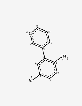 Cc1ccc(Br)cc1-c1cccnc1